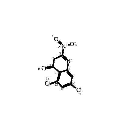 O=C1CC([N+](=O)[O-])=Nc2cc(Cl)cc(Cl)c21